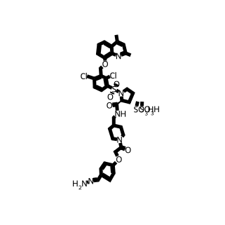 CS(=O)(=O)O.CS(=O)(=O)O.Cc1cc(C)c2cccc(OCc3c(Cl)ccc(S(=O)(=O)N4CCC[C@H]4C(=O)NCC4CCN(C(=O)COc5ccc(C=NN)cc5)CC4)c3Cl)c2n1